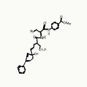 COC(=O)c1ccc(NC(=O)C(CC(C)C)NC(=O)C(CCCC2(C#N)C=CC(c3ccccc3)=CC2)CC(=O)O)cc1